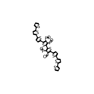 O=Pc1c(-c2ccc(-c3ccc(-c4cccs4)s3)s2)sc(-c2sc(-c3ccc(-c4ccc(-c5cccs5)s4)s3)c(P=O)c2P=O)c1P=O